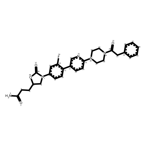 NC(=O)CCC1CN(c2ccc(-c3ccc(N4CCN(C(=O)Cc5ccccc5)CC4)nc3)c(F)c2)C(=O)O1